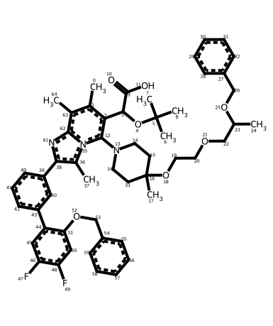 Cc1c(C(OC(C)(C)C)C(=O)O)c(N2CCC(C)(OCCOCC(C)OCc3ccccc3)CC2)n2c(C)c(-c3cccc(-c4cc(F)c(F)cc4OCc4ccccc4)c3)nc2c1C